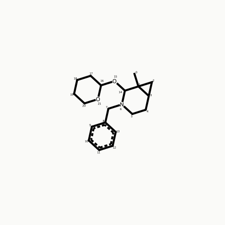 CC12CC1CCN(Cc1ccccc1)C2OC1CCCCO1